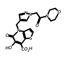 O=C(O)c1c(O)c(=O)n(Cc2cnn(CC(=O)N3CCOCC3)c2)c2ccsc12